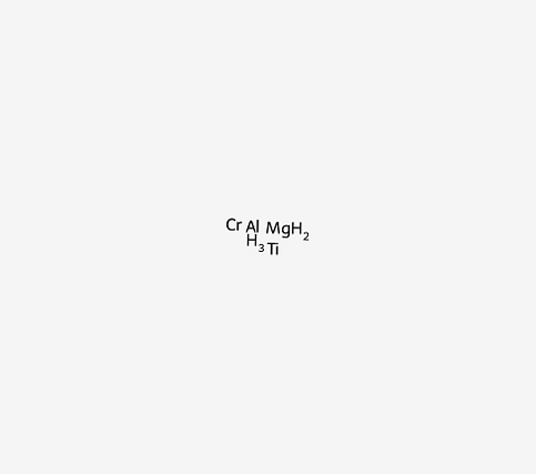 [AlH3].[Cr].[MgH2].[Ti]